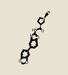 N#CN1CC[C@H](C(=O)Nc2nc3cc(-c4ccc5c(c4)OCO5)ccc3s2)C1